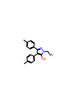 Cc1ccc(-c2nn(CC(C)C)c(O)c2-c2ccc(C)cc2)cc1